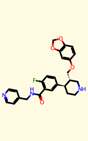 O=C(NCc1ccncc1)c1cc([C@@H]2CCNC[C@H]2COc2ccc3c(c2)OCO3)ccc1F